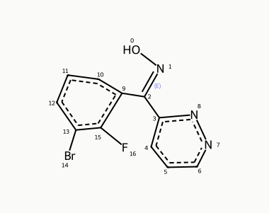 O/N=C(/c1cccnn1)c1cccc(Br)c1F